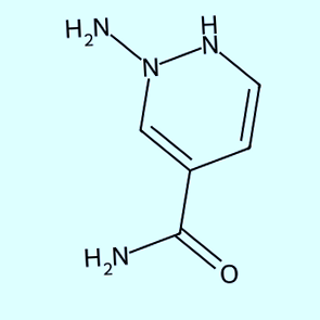 NC(=O)C1=CN(N)NC=C1